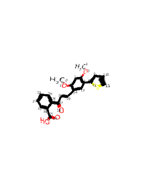 COc1cc(OC)c(-c2cccs2)cc1C=CC(=O)c1ccccc1C(=O)O